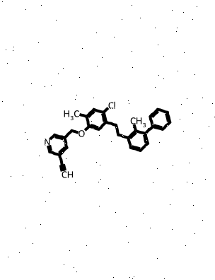 C#Cc1cncc(COc2cc(CCc3cccc(-c4ccccc4)c3C)c(Cl)cc2C)c1